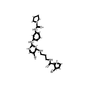 O=C(NCCCNc1nc(Nc2cccc(NC(=O)N3CCCC3)c2)ncc1Br)c1sccc1Br